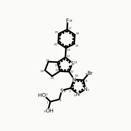 OC(O)CSc1nnc(Br)n1-c1sc(-c2ccc(F)cc2)c2c1CCC2